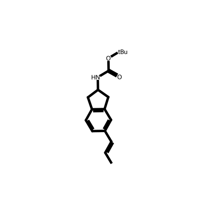 C/C=C/c1ccc2c(c1)CC(NC(=O)OC(C)(C)C)C2